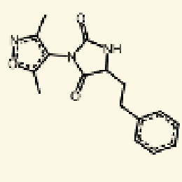 Cc1noc(C)c1N1C(=O)NC(CCc2ccccc2)C1=O